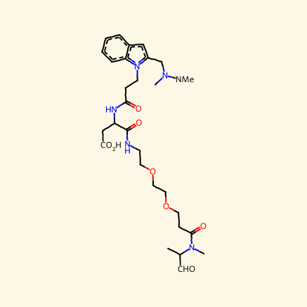 CNN(C)Cc1cc2ccccc2n1CCC(=O)NC(CC(=O)O)C(=O)NCCOCCOCCC(=O)N(C)C(C)C=O